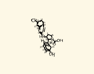 O=C(O)N1CCC(Nc2nc3ccc(Cl)cc3s2)C1C1[C@@H]2CC3C[C@H]1CC(O)(C3)C2